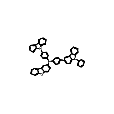 c1ccc(-n2c3ccccc3c3cc(-c4ccc(N(c5ccc(-n6c7ccccc7c7ccccc76)cc5)c5ccc6oc7ccccc7c6c5)cc4)ccc32)cc1